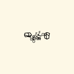 O=S(=O)(NS(=O)(=O)C(F)(F)COC12CC3CC(CC(C3)C1)C2)OC1C2CC3CC(C2)CC1C3